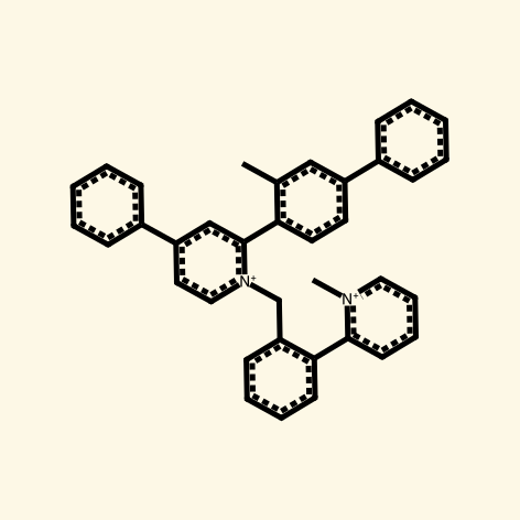 Cc1cc(-c2ccccc2)ccc1-c1cc(-c2ccccc2)cc[n+]1Cc1ccccc1-c1cccc[n+]1C